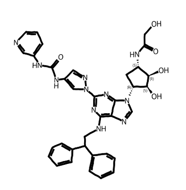 O=C(CO)N[C@H]1C[C@@H](n2cnc3c(NCC(c4ccccc4)c4ccccc4)nc(-n4cc(NC(=O)Nc5cccnc5)cn4)nc32)[C@H](O)[C@@H]1O